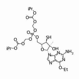 CCOc1nc(N)nc2c1ncn2[C@@H]1OC(COP(=O)(OCOC(=O)OC(C)C)OCOC(=O)OC(C)C)[C@@H](S)[C@@]1(C)O